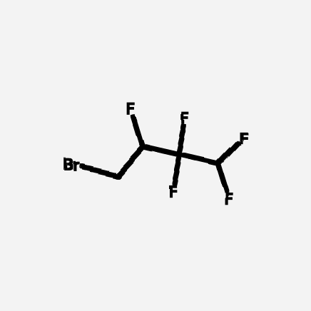 FC(F)C(F)(F)C(F)CBr